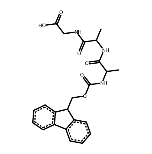 CC(NC(=O)OCC1c2ccccc2-c2ccccc21)C(=O)NC(C)C(=O)NCC(=O)O